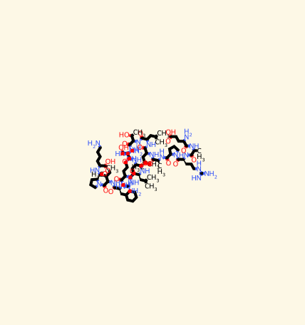 CCC(C)C(NC(=O)[C@H](CC1CCCCC1)NC(=O)C(CCCNC(=N)N)NC(=O)[C@H](CC(C)C)NC(=O)C(CCCNC(=N)N)NC(=O)[C@H](CO)NC(=O)C(NC(=O)C(CC(C)C)NC(=O)C(CC(C)C)NC(=O)[C@H](C)NC(=O)C1CCCN1C(=O)[C@H](CCCNC(=N)N)NC(=O)C(C)NC(=O)C(N)CCC(=O)O)C(C)O)C(=O)N1CCC[C@H]1C(=O)NC(CCCCN)C(=O)O